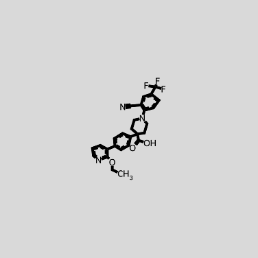 CCOc1ncccc1-c1ccc(C2(C(=O)O)CCN(c3ccc(C(F)(F)F)cc3C#N)CC2)cc1